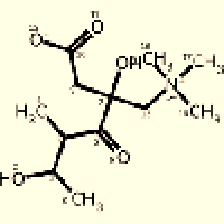 CC(O)C(C)C(=O)C(O)(CC(=O)[O-])C[N+](C)(C)C